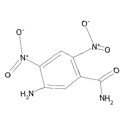 NC(=O)c1cc(N)c([N+](=O)[O-])cc1[N+](=O)[O-]